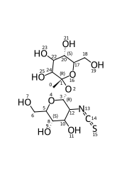 C[C@]1(O[C@H]2OC(CO)[C@@H](O)C(O)C2N=C=S)OC(CO)[C@@H](O)C(O)C1O